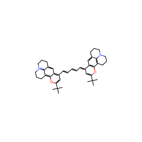 CC(C)(C)C1=CC(=CC=CC=CC2=c3cc4c5c(c3OC(C(C)(C)C)=C2)CCC[N+]=5CCC4)c2cc3c4c(c2O1)CCCN4CCC3